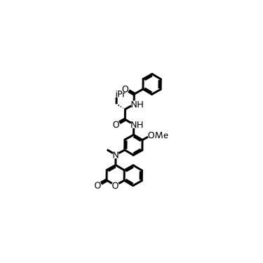 COc1ccc(N(C)c2cc(=O)oc3ccccc23)cc1NC(=O)[C@H](CC(C)C)NC(=O)c1ccccc1